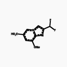 COc1cc(C(=O)O)cn2cc(C(F)F)nc12